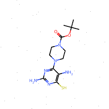 CC(C)(C)OC(=O)N1CCN(c2nc(N)nc(S)c2N)CC1